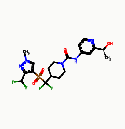 C[C@@H](O)c1cc(NC(=O)N2CCC(C(F)(F)S(=O)(=O)c3cn(C)nc3C(F)F)CC2)ccn1